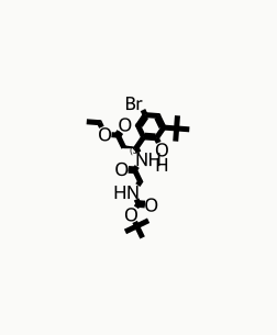 CCOC(=O)C[C@H](NC(=O)CNC(=O)OC(C)(C)C)c1cc(Br)cc(C(C)(C)C)c1O